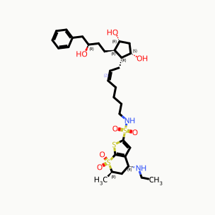 CCN[C@@H]1C[C@@H](C)S(=O)(=O)c2sc(S(=O)(=O)NCCCC/C=C\C[C@@H]3[C@@H](CC[C@@H](O)Cc4ccccc4)[C@H](O)C[C@@H]3O)cc21